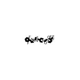 O=C(Cn1cccc(C(F)(F)F)c1=O)N1CCC(c2nc(-n3ccc(-c4c(F)cccc4F)n3)cs2)CC1